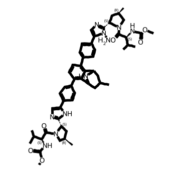 COC(=O)N[C@H](C(=O)N1C[C@H](C)C[C@H]1c1ncc(-c2ccc(-c3ccc(-c4ccc(-c5cnc([C@@H]6C[C@@H](C)CN6C(=O)[C@@H](NC(=O)OC)C(C)C)n5N)cc4)c4c3C3CC(C)CC4N3)cc2)[nH]1)C(C)C